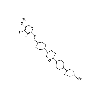 CCCC1CCC(C2CCC(C3CCC(C4CCC(COc5ccc(OCC)c(F)c5F)CC4)CO3)CC2)CC1